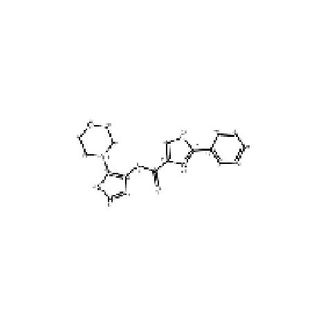 O=C(Nc1cnsc1N1CCOCC1)c1coc(-c2ccccc2)n1